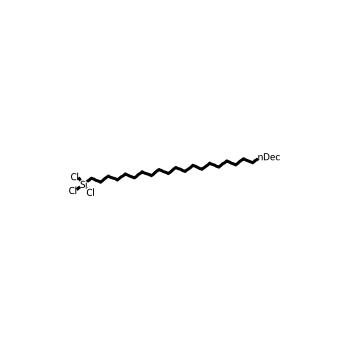 CCCCCCCCCCCCCCCCCCCCCCCCCCCCCC[Si](Cl)(Cl)Cl